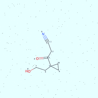 N#CCC(=O)C1(CCO)CC1